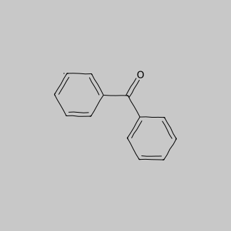 O=C(c1c[c]ccc1)c1ccccc1